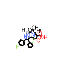 CC(C)(C)[C@@H]1Cn2nc(-c3ccc(F)cc3)c(-c3ccccc3F)c2-c2cc(=O)c(C(=O)O)cn21